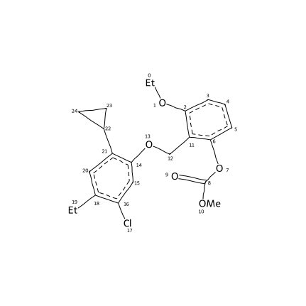 CCOc1cccc(OC(=O)OC)c1COc1cc(Cl)c(CC)cc1C1CC1